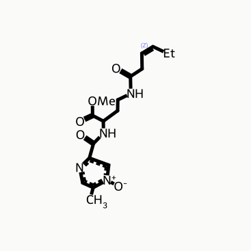 CC/C=C\CC(=O)NCCC(NC(=O)c1c[n+]([O-])c(C)cn1)C(=O)OC